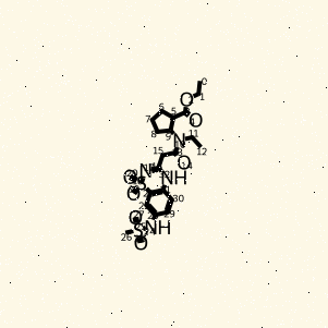 CCOC(=O)C1CCCC1N(CC)C(=O)CC1=NS(=O)(=O)c2cc(NS(C)(=O)=O)ccc2N1